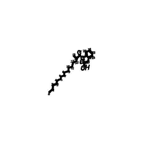 CCCCCCCCCCCCCCC(C)C(=O)Oc1ccccc1CC(=O)O